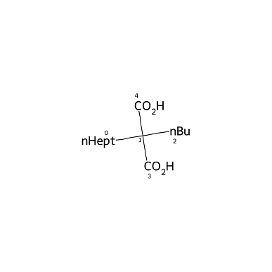 CCCCCCCC(CCCC)(C(=O)O)C(=O)O